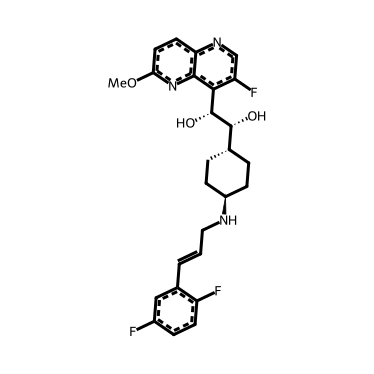 COc1ccc2ncc(F)c([C@@H](O)[C@H](O)[C@H]3CC[C@H](NC/C=C/c4cc(F)ccc4F)CC3)c2n1